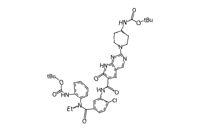 CCN(C(=O)c1ccc(Cl)c(NC(=O)c2cc3cnc(N4CCC(NC(=O)OC(C)(C)C)CC4)nc3[nH]c2=O)c1)c1ccccc1NC(=O)OC(C)(C)C